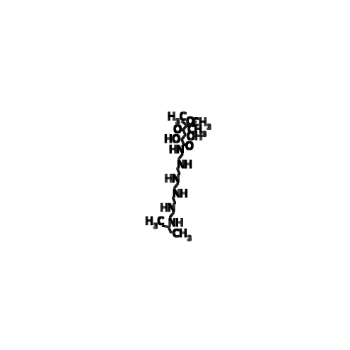 CCC(CC)NCCNCCNCCNCCNCCNC(=O)[C@H](O)[C@@H](O)C(=O)C(C)(CC)OC